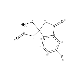 O=C1CC2(CN1)CC(=O)c1cc(F)ccc12